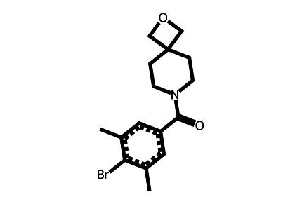 Cc1cc(C(=O)N2CCC3(CC2)COC3)cc(C)c1Br